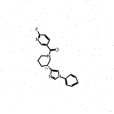 O=C(c1ccc(F)nc1)N1CCC[C@H](c2cn(-c3ccccc3)cn2)C1